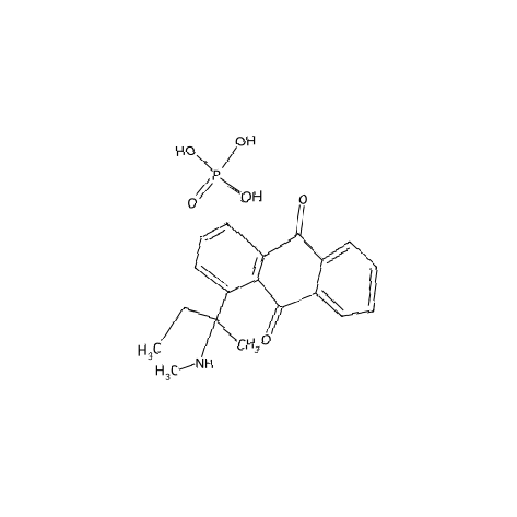 CCC(C)(NC)c1cccc2c1C(=O)c1ccccc1C2=O.O=P(O)(O)O